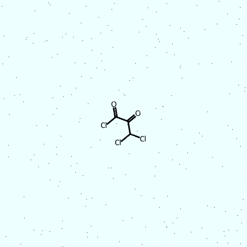 O=C(Cl)C(=O)C(Cl)Cl